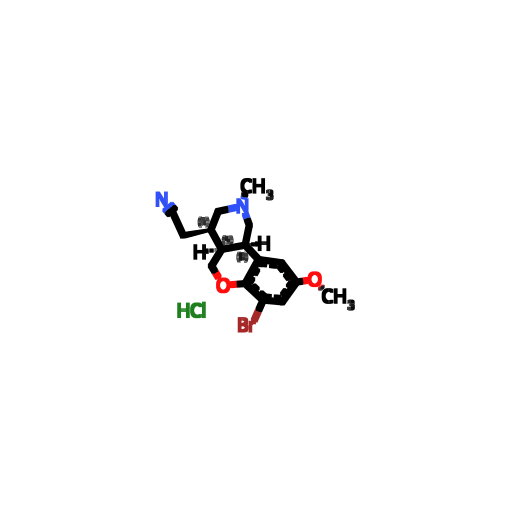 COc1cc(Br)c2c(c1)[C@@H]1CN(C)C[C@H](CC#N)[C@@H]1CO2.Cl